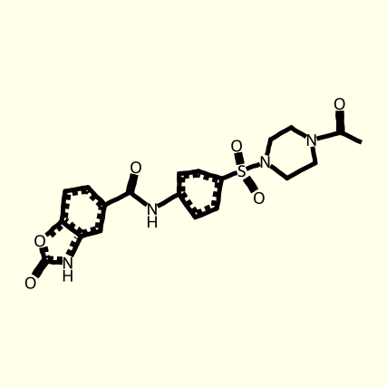 CC(=O)N1CCN(S(=O)(=O)c2ccc(NC(=O)c3ccc4oc(=O)[nH]c4c3)cc2)CC1